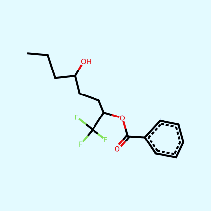 CCCC(O)CCC(OC(=O)c1[c]cccc1)C(F)(F)F